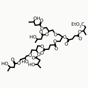 CCOC(=O)CC(C)OC(=O)CCC(=O)OC(COCC(COC(=O)CC(C)O)OC(=O)CC(C)O)COC(=O)CCC(=O)OCC(COCC(O)COC(=O)CC(C)O)OC(=O)CC(C)O